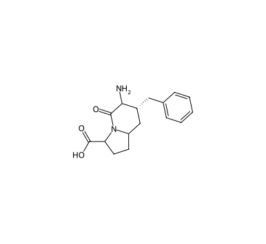 NC1C(=O)N2C(CCC2C(=O)O)C[C@H]1Cc1ccccc1